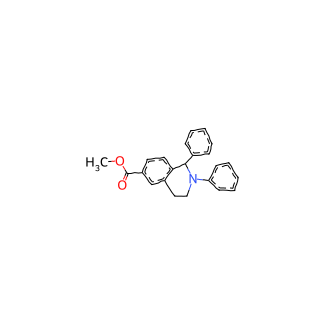 COC(=O)c1ccc2c(c1)CCN(c1ccccc1)C2c1ccccc1